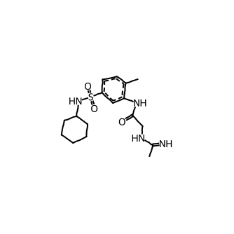 CC(=N)NCC(=O)Nc1cc(S(=O)(=O)NC2CCCCC2)ccc1C